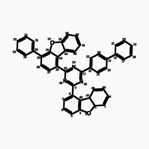 C1=CC2Oc3cccc(-c4nc(-c5ccc(-c6ccccc6)cc5)nc(-c5ccc(-c6ccccc6)c6oc7ccccc7c56)n4)c3C2C=C1